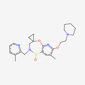 Cc1cccnc1CN1CC2(CC2)Oc2nc(OCCN3CCCCC3)c(C)cc2[S+]1[O-]